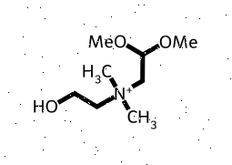 COC(C[N+](C)(C)CCO)OC